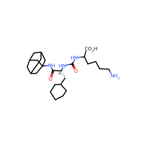 NCCCCC(NC(=O)N[C@H](CC1CCCCC1)C(=O)NC12CC3CC(CC(C3)C1)C2)C(=O)O